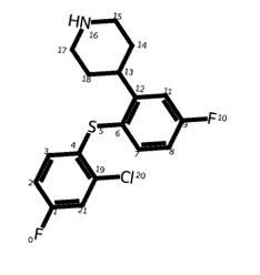 Fc1ccc(Sc2ccc(F)cc2C2CCNCC2)c(Cl)c1